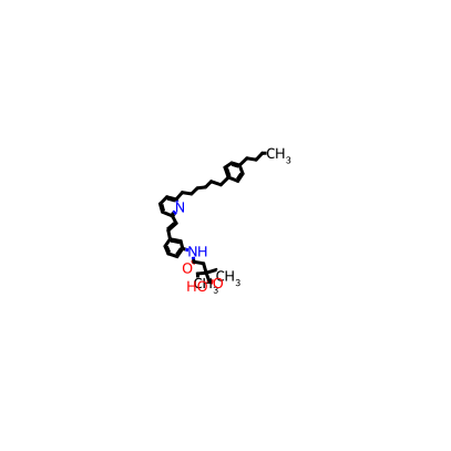 CCCCc1ccc(CCCCCCc2cccc(C=Cc3cccc(NC(=O)CC(CC)(CC)C(=O)O)c3)n2)cc1